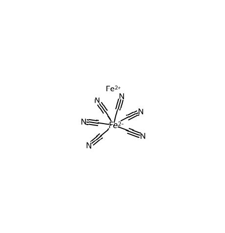 N#[C][Fe-2]([C]#N)([C]#N)([C]#N)([C]#N)[C]#N.[Fe+2]